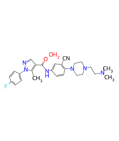 Cc1c(C(=O)Nc2ccc(N3CCN(CCN(C)C)CC3)c(C#N)c2)cnn1-c1ccc(F)cc1.O